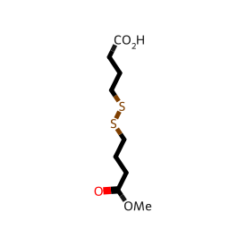 COC(=O)CCCSSCCCC(=O)O